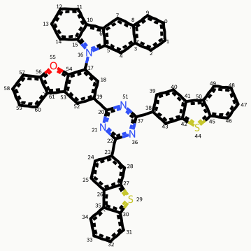 c1ccc2cc3c(cc2c1)c1ccccc1n3-c1cc(-c2nc(-c3ccc4c(c3)sc3ccccc34)nc(-c3ccc4c(c3)sc3ccccc34)n2)cc2c1oc1ccccc12